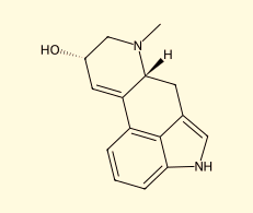 CN1C[C@@H](O)C=C2c3cccc4[nH]cc(c34)C[C@H]21